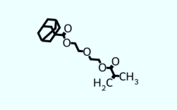 C=C(C)C(=O)OCCOCCOC(=O)C12CC3CC(CC(C3)C1)C2